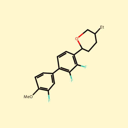 CCC1CCC(c2ccc(-c3ccc(OC)c(F)c3)c(F)c2F)OC1